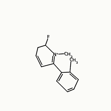 Cc1ccccc1C1=[N+](C)C(F)CC=C1